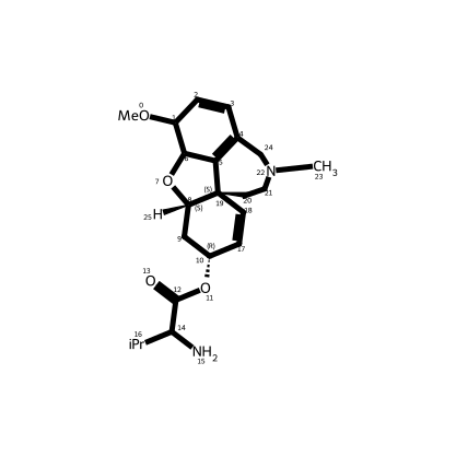 COC1C=CC2=C3C1O[C@H]1C[C@@H](OC(=O)C(N)C(C)C)C=C[C@@]31CCN(C)C2